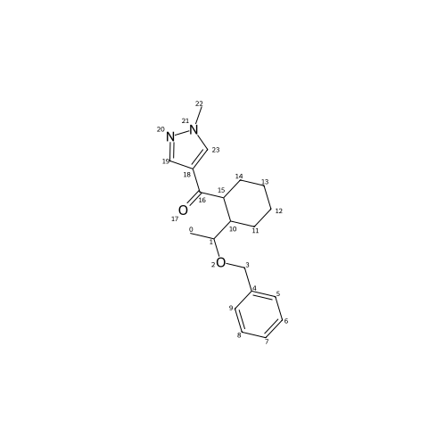 CC(OCc1ccccc1)C1CCCCC1C(=O)c1cnn(C)c1